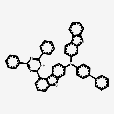 c1ccc(C2=NC(c3cccc4oc5cc(N(c6ccc(-c7ccccc7)cc6)c6ccc7c(c6)sc6ccccc67)ccc5c34)NC(c3ccccc3)=N2)cc1